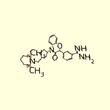 C[C@@H]1CCC[C@H](C)N1CC1CCC(N2C(=O)C(c3cccc(C(=N)N)c3)Oc3ccccc32)C1